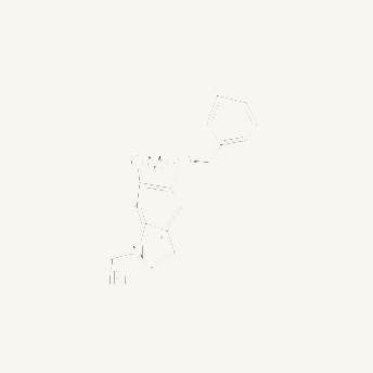 COc1cc2c(ccn2C[C](C)C)cc1OCc1ccccc1